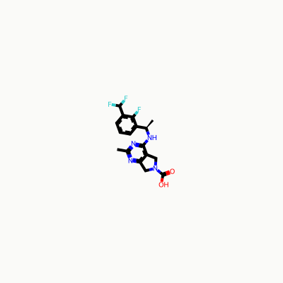 Cc1nc2c(c(N[C@H](C)c3cccc(C(F)F)c3F)n1)CN(C(=O)O)C2